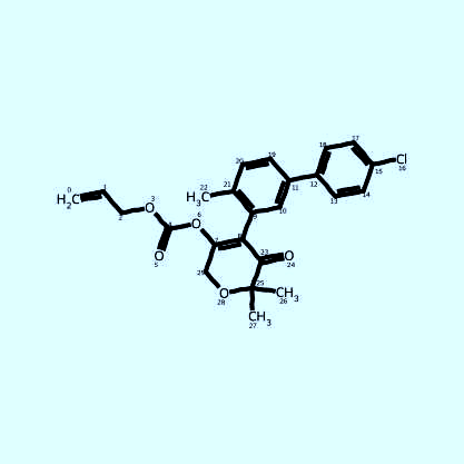 C=CCOC(=O)OC1=C(c2cc(-c3ccc(Cl)cc3)ccc2C)C(=O)C(C)(C)OC1